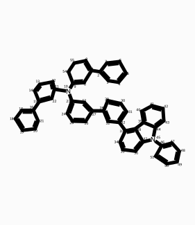 C1=C(c2ccccc2)C=C(N(c2cccc(-c3ccccc3)c2)c2cccc(-c3cccc(-c4cccc5c4c4ccccc4n5-c4ccccc4)c3)c2)CC1